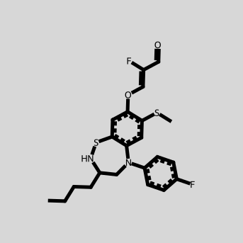 CCCCC1CN(c2ccc(F)cc2)c2cc(SC)c(O/C=C(\F)C=O)cc2SN1